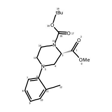 COC(=O)[C@@H]1CN(c2ccccc2C)CCN1C(=O)OC(C)(C)C